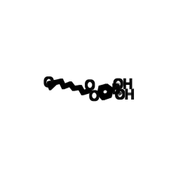 O=C(CCCCCCC1CO1)Oc1ccc(B(O)O)cc1